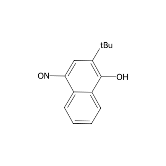 CC(C)(C)c1cc(N=O)c2ccccc2c1O